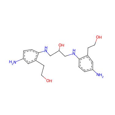 Nc1ccc(NCC(O)CNc2ccc(N)cc2CCO)c(CCO)c1